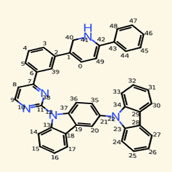 C1=C(c2cccc(-c3ccnc(-n4c5ccccc5c5cc(-n6c7ccccc7c7ccccc76)ccc54)n3)c2)CNC(c2ccccc2)=C1